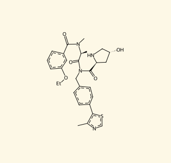 CCOc1cccc(C(=O)N(C)[C@@H](C)C(=O)N(Cc2ccc(-c3scnc3C)cc2)C(=O)[C@@H]2C[C@@H](O)CN2)c1